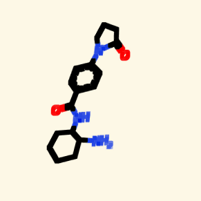 NC1CCCCC1NC(=O)c1ccc(N2CCCC2=O)cc1